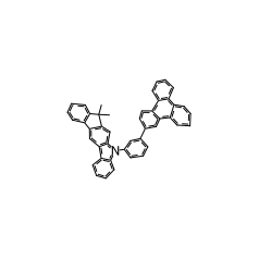 CC1(C)c2ccccc2-c2cc3c4ccccc4n(-c4cccc(-c5ccc6c7ccccc7c7ccccc7c6c5)c4)c3cc21